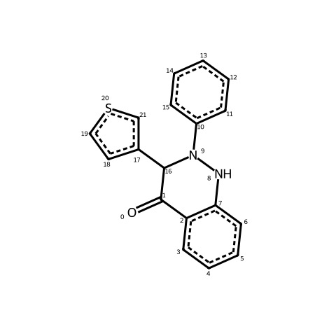 O=C1c2ccccc2NN(c2ccccc2)C1c1ccsc1